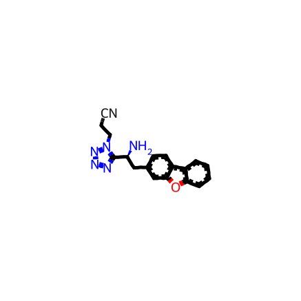 N#CCCn1nnnc1[C@@H](N)Cc1ccc2c(c1)oc1ccccc12